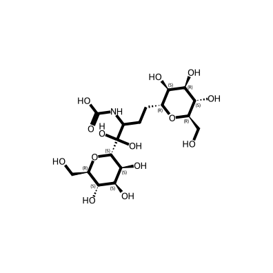 O=C(O)NC(CC[C@H]1O[C@H](CO)[C@@H](O)[C@H](O)[C@@H]1O)C(O)(O)[C@H]1O[C@H](CO)[C@@H](O)[C@H](O)[C@@H]1O